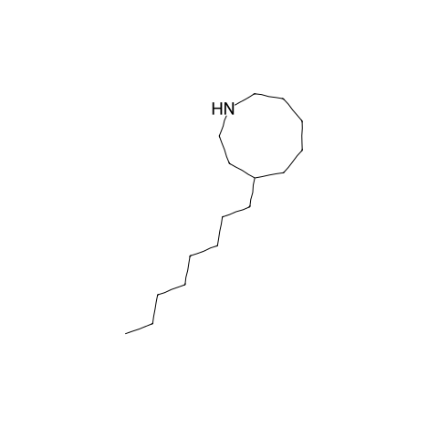 CCCCCCCCC1CCCCCNCC1